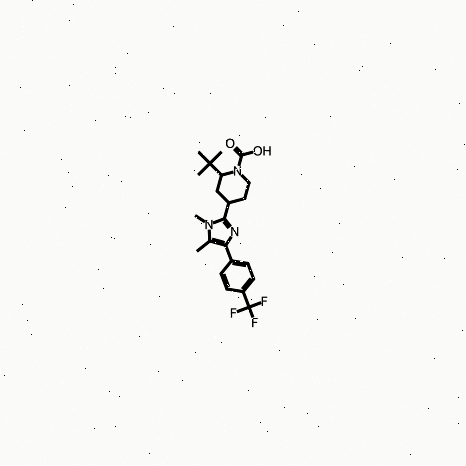 Cc1c(-c2ccc(C(F)(F)F)cc2)nc(C2CCN(C(=O)O)C(C(C)(C)C)C2)n1C